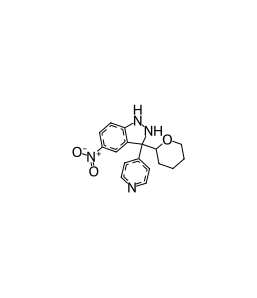 O=[N+]([O-])c1ccc2c(c1)C(c1ccncc1)(C1CCCCO1)NN2